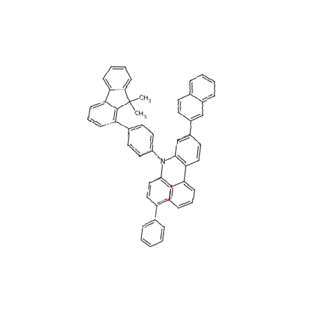 CC1(C)c2ccccc2-c2cccc(-c3ccc(N(c4ccc(-c5ccccc5)cc4)c4cc(-c5ccc6ccccc6c5)ccc4-c4ccccc4)cc3)c21